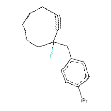 CC(C)c1ccc(CC2(F)C#CCCCCC2)cc1